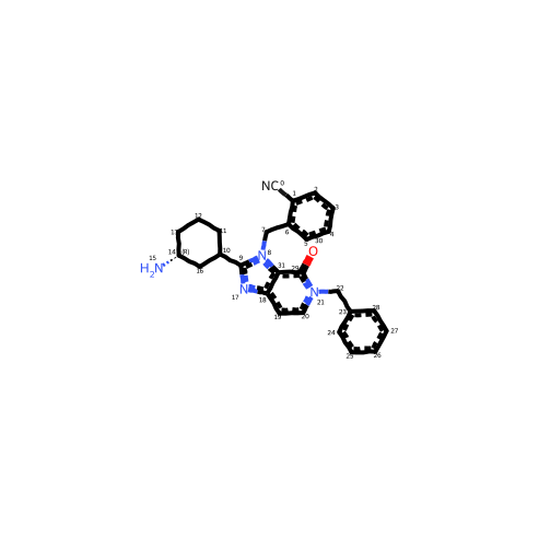 N#Cc1ccccc1Cn1c(C2CCC[C@@H](N)C2)nc2ccn(Cc3ccccc3)c(=O)c21